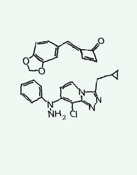 NN(c1ccccc1)c1ccn2c(CC3CC3)nnc2c1Cl.O=C1C=CC1=Cc1ccc2c(c1)OCO2